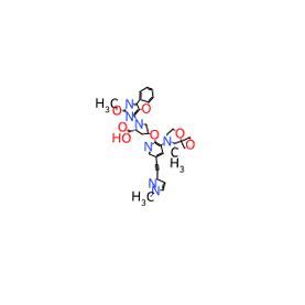 COc1nc(N2C[C@@H](Oc3ncc(C#Cc4ccn(C)n4)cc3N3CCOC4(COC4)[C@@H]3C)C[C@H]2C(=O)O)c2oc3ccccc3c2n1